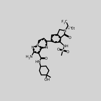 CC[C@H](N1Cc2cc(-c3ccn4nc(N)c(C(=O)NC5CCC(C)(O)CC5)c4n3)cc(NS(C)(=O)=O)c2C1=O)C(F)(F)F